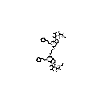 CCN[C@@H](C)C(=O)N[C@H](C(=O)N1CC[C@@]2(C)C[C@@H](OCCO[C@H]3CN(CCc4ccccc4)C[C@@]4(C)N(C(=O)[C@@H](NC(=O)[C@H](C)NC)C(C)C)CC[C@@]4(C)C3)CN(CCc3ccccc3)C[C@@]12C)C(C)C